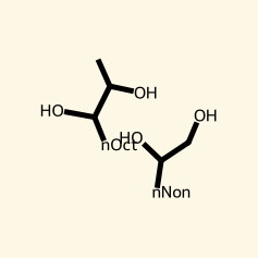 CCCCCCCCC(O)C(C)O.CCCCCCCCCC(O)CO